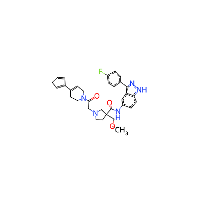 COCC1(C(=O)Nc2ccc3[nH]nc(-c4ccc(F)cc4)c3c2)CCN(CC(=O)N2CC=C(C3=CCC=C3)CC2)C1